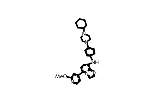 COc1cc(-c2ccc(Nc3ccc(N4CCN(C5CCCCC5)CC4)cc3)c3nccn23)ccn1